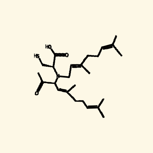 CC(=O)C(/C=C(\C)CCC=C(C)C)N(C/C=C(\C)CCC=C(C)C)[C@@H](CS)C(=O)O